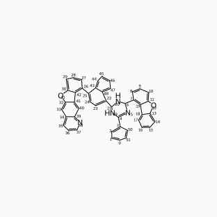 c1ccc(C2=NC(c3cccc4oc5ccccc5c34)NC(c3ccc(-c4cccc5oc6cc7cccnc7cc6c45)c4ccccc34)N2)cc1